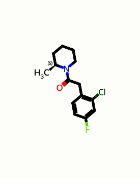 C[C@H]1CCCCN1C(=O)Cc1ccc(F)cc1Cl